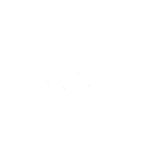 CCOC(=O)N1CCN(Cc2nc(Cl)c3c4c(oc3n2)CCCC4)CC1